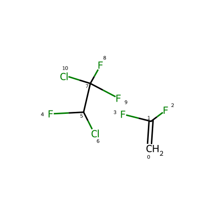 C=C(F)F.FC(Cl)C(F)(F)Cl